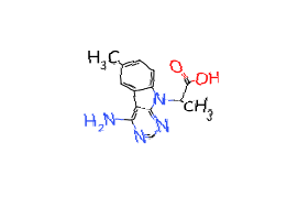 Cc1ccc2c(c1)c1c(N)ncnc1n2C(C)C(=O)O